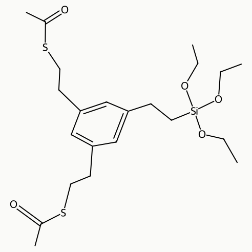 CCO[Si](CCc1cc(CCSC(C)=O)cc(CCSC(C)=O)c1)(OCC)OCC